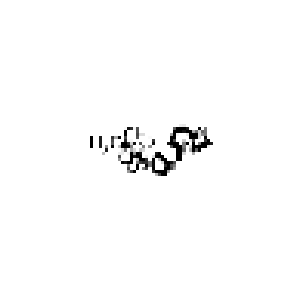 CC(C)(C)OC(=O)N1CC[C@H](Cc2cccc3nccn23)C1